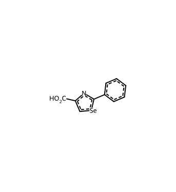 O=C(O)c1c[se]c(-c2ccccc2)n1